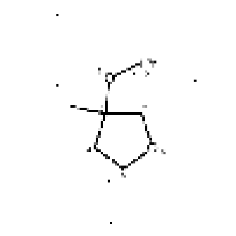 CC(C)OC1(C)CCOC1